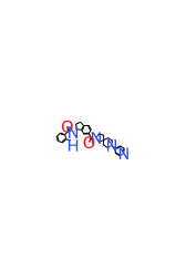 Cc1ccccc1C(=O)N[C@@H]1CCc2ccc(C(=O)N3CCC4(CCN(c5ccncc5)CC4)C3)cc21